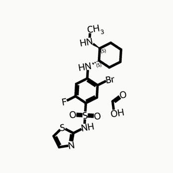 CN[C@H]1CCCC[C@@H]1Nc1cc(F)c(S(=O)(=O)Nc2nccs2)cc1Br.O=CO